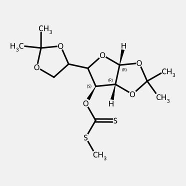 CSC(=S)O[C@H]1C(C2COC(C)(C)O2)O[C@@H]2OC(C)(C)O[C@@H]21